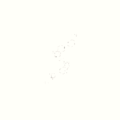 Cn1cc(-c2cnc3cnn(S(=O)(=O)c4cnc5ccc(-c6cccc(C#N)c6)cn45)c3c2)cn1